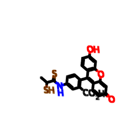 CC(S)C(=S)Nc1ccc(-c2c3ccc(=O)cc-3oc3cc(O)ccc23)c(C(=O)O)c1